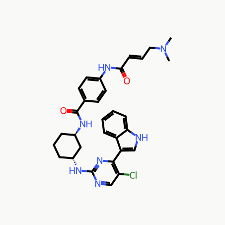 CN(C)C/C=C/C(=O)Nc1ccc(C(=O)N[C@@H]2CCC[C@@H](Nc3ncc(Cl)c(-c4c[nH]c5ccccc45)n3)C2)cc1